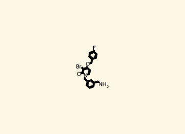 NCc1cccc(Cn2ccc(OCc3ccc(F)cc3)c(Br)c2=O)c1